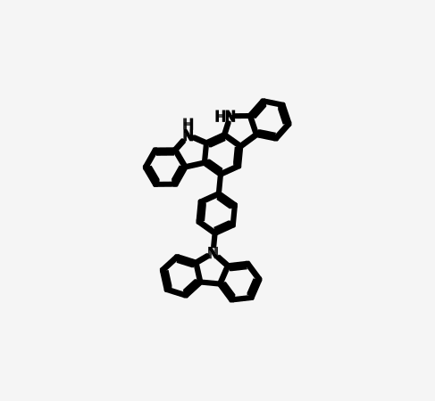 c1ccc2c(c1)[nH]c1c2cc(-c2ccc(-n3c4ccccc4c4ccccc43)cc2)c2c3ccccc3[nH]c12